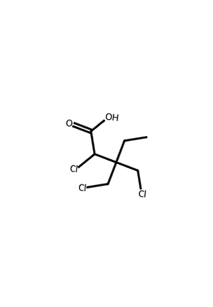 CCC(CCl)(CCl)C(Cl)C(=O)O